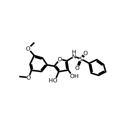 COc1cc(OC)cc(-c2oc(NS(=O)(=O)c3ccccc3)c(O)c2O)c1